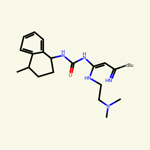 CC1CCC(NC(=O)N/C(=C/C(=N)C(C)(C)C)NCCN(C)C)c2ccccc21